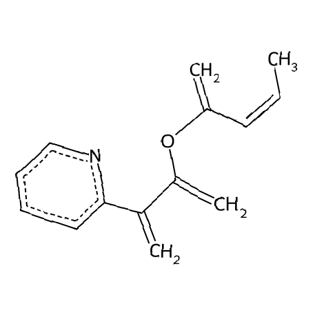 C=C(/C=C\C)OC(=C)C(=C)c1ccccn1